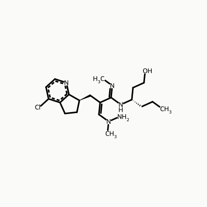 CCC[C@@H](CCO)NC(=N/C)/C(=C\N(C)N)C[C@H]1CCc2c(Cl)ccnc21